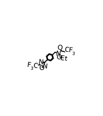 CCON(Cc1ccc(-c2noc(C(F)(F)F)n2)cc1)C(=O)CC(F)(F)F